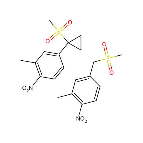 Cc1cc(C2(S(C)(=O)=O)CC2)ccc1[N+](=O)[O-].Cc1cc(CS(C)(=O)=O)ccc1[N+](=O)[O-]